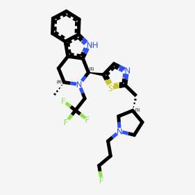 C[C@@H]1Cc2c([nH]c3ccccc23)[C@@H](c2cnc(C[C@@H]3CCN(CCCF)C3)s2)N1CC(F)(F)F